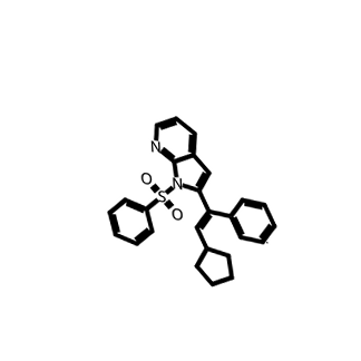 O=S(=O)(c1ccccc1)n1c(C(=CC2CCCC2)c2c[c]ccc2)cc2cccnc21